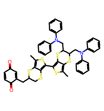 Cc1sc(-c2sc(C)c3c2SC(CN(c2ccccc2)c2ccccc2)C(CN(c2ccccc2)c2ccccc2)S3)c2c1SC(CC1=CC(=O)C=CC1=O)CS2